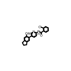 COc1cc2c(cc1-c1ccc(NC(=O)c3ccccc3Cl)nc1)CCC2